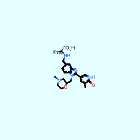 Cc1cc(-c2nc3cc(CN[C@H](C(=O)O)C(C)C)ccc3n2CC2CN(C)CCO2)c[nH]c1=O